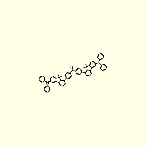 CC1(C)c2ccc(N(c3ccccc3)c3ccccc3)cc2-c2cccc(-c3ccc(C(=O)c4ccc(-c5cccc6c5C(C)(C)c5ccc(N(c7ccccc7)c7ccccc7)cc5-6)cc4)cc3)c21